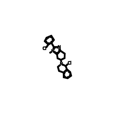 Cn1c(-c2ccccc2Cl)nc2c1CC(N1CCc3ccccc3C1Cl)CC2